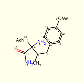 COc1ccc(CC(C)C(N)(NC(C)=O)C(N)=O)cc1